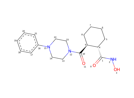 O=C(NO)[C@H]1C[CH]CC[C@@H]1C(=O)N1CCN(c2ccccc2)CC1